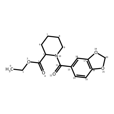 CCOC(=O)C1CCCCN1C(=O)c1ccc2c(c1)OCO2